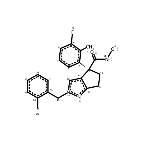 Cc1c(F)cccc1[C@]1(C(=O)NO)CCc2nn(Cc3ccccc3F)cc21